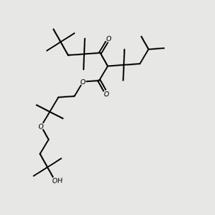 CC(C)CC(C)(C)C(C(=O)OCCC(C)(C)OCCC(C)(C)O)C(=O)C(C)(C)CC(C)(C)C